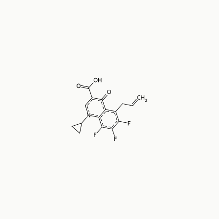 C=CCc1c(F)c(F)c(F)c2c1c(=O)c(C(=O)O)cn2C1CC1